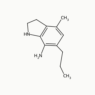 CCCc1cc(C)c2c(c1N)NCC2